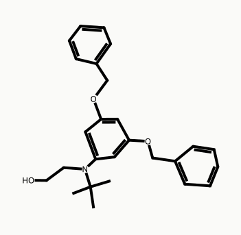 CC(C)(C)N(CCO)c1cc(OCc2ccccc2)cc(OCc2ccccc2)c1